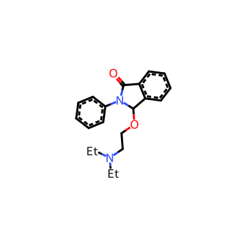 CCN(CC)CCOC1c2ccccc2C(=O)N1c1ccccc1